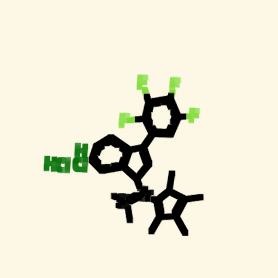 CC1=C(C)C(C)[C]([Zr]([CH]2C=C(c3cc(F)c(F)c(F)c3F)c3ccccc32)=[Si](C)C)=C1C.Cl.Cl